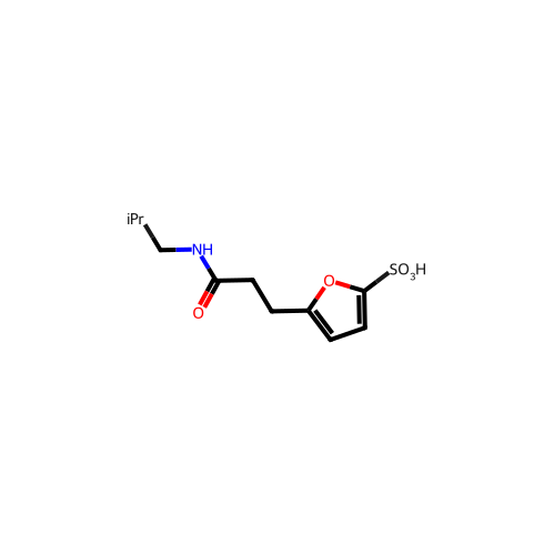 CC(C)CNC(=O)CCc1ccc(S(=O)(=O)O)o1